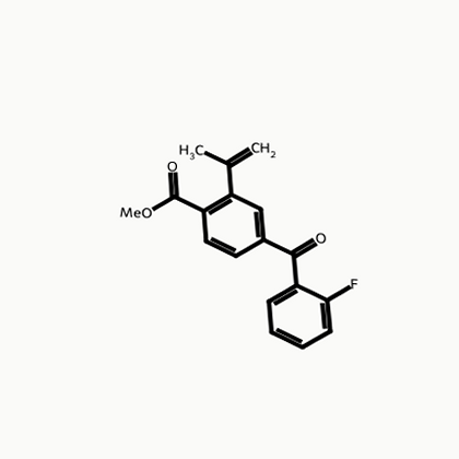 C=C(C)c1cc(C(=O)c2ccccc2F)ccc1C(=O)OC